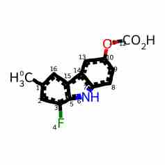 Cc1cc(F)c2[nH]c3ccc(OC(=O)O)cc3c2c1